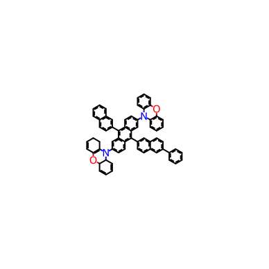 C1=CC2OC3=C(CCC=C3)N(c3ccc4c(-c5ccc6cc(-c7ccccc7)ccc6c5)c5cc(N6c7ccccc7Oc7ccccc76)ccc5c(-c5ccc6ccccc6c5)c4c3)C2C=C1